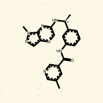 Cc1cncc(C(=O)Nc2cccc([C@H](C)Nc3cnc4cnn(C)c4n3)c2)c1